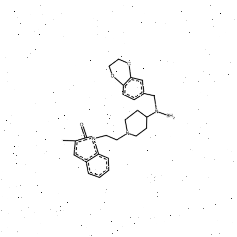 BN(Cc1ccc2c(c1)OCCO2)C1CCN(CCn2c(=O)c(C)cc3ccccc32)CC1